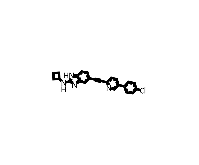 Clc1ccc(-c2ccc(C#Cc3ccc4[nH]c(NC5CCC5)nc4c3)nc2)cc1